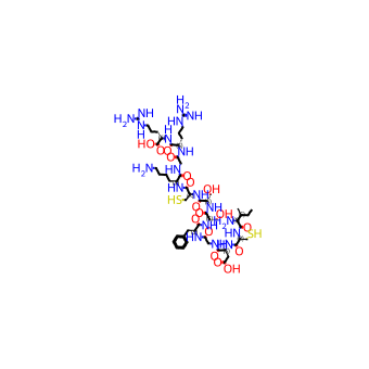 CC[C@H](C)[C@H](N)C(=O)N[C@@H](CS)C(=O)N[C@@H](CC(=O)O)C(=O)NCC(=O)N[C@@H](Cc1ccccc1)C(=O)N[C@@H](CO)C(=O)N[C@@H](CO)C(=O)N[C@@H](CS)C(=O)N[C@@H](CCCCN)C(=O)NCC(=O)N[C@@H](CCCNC(=N)N)C(=O)N[C@@H](CCCNC(=N)N)C(=O)O